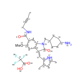 CC#CCNC(=O)c1cc2c(cc1OC)/C(=C/c1[nH]c(C)cc1C)C(=O)N2CC1CCC(N)CC1.O=C(O)C(F)(F)F